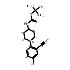 CC(C)(C)OC(=O)NC1CCN(c2ccc(F)cc2C#N)CC1